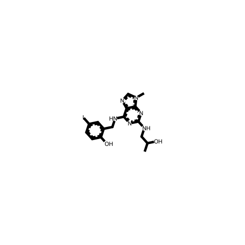 CC(O)CNc1nc(NCc2cc(I)ccc2O)c2ncn(C)c2n1